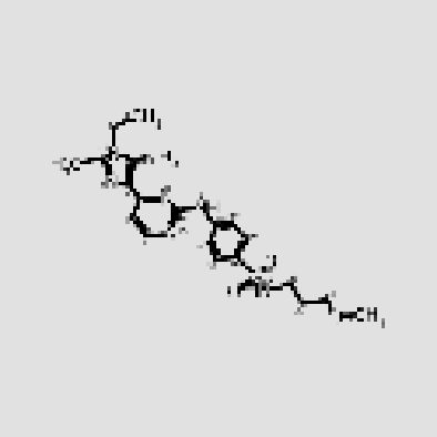 CCn1c(C)nc(-c2ccnc(Nc3ccc(S(=O)(=O)NCCCOC)cc3)n2)c1C